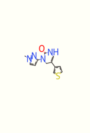 Cn1ccc(N2CC(c3ccsc3)=CNC2=O)n1